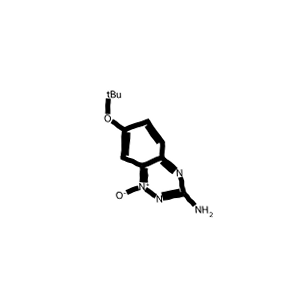 CC(C)(C)Oc1ccc2nc(N)n[n+]([O-])c2c1